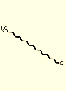 [CH]=CCCCCCCCCCCC=CCCC